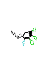 COc1cc(Cl)c(Cl)c(Cl)c1F